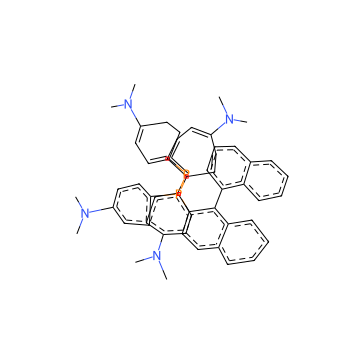 CN(C)C1=CC=C=C(P(c2ccc(N(C)C)cc2)c2ccc3ccccc3c2-c2c([P@](C3=CC=C(N(C)C)CC3)c3ccc(N(C)C)cc3)ccc3ccccc23)C=C1